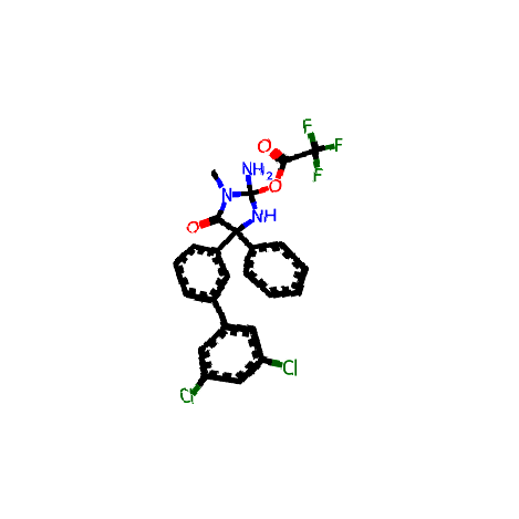 CN1C(=O)C(c2ccccc2)(c2cccc(-c3cc(Cl)cc(Cl)c3)c2)NC1(N)OC(=O)C(F)(F)F